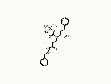 CC(C)(C)OC(=O)N(CCC(=O)NOCc1ccccc1)[C@@H](CO)CCc1ccccc1